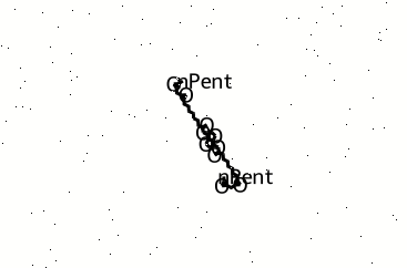 CCCCCC1OC1CC1OC1CCCCCCCC(=O)OC1COC2C(OC(=O)CCCCCCCC3OC3CC3OC3CCCCC)COC12